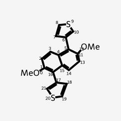 COc1ccc2c(-c3ccsc3)c(OC)ccc2c1-c1ccsc1